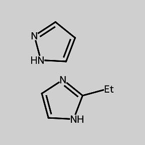 CCc1ncc[nH]1.c1cn[nH]c1